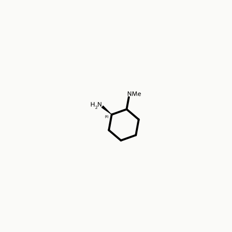 CNC1CCCC[C@H]1N